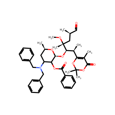 CO[C@](C)(C[C@@H](C)C=O)[C@H](O[C@@H]1O[C@H](C)CC(N(Cc2ccccc2)Cc2ccccc2)C1OC(=O)c1ccccc1)[C@@H](C)C1=C(C)C(=O)OC(C)(C)O1